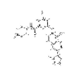 Cc1nocc1-c1ccc2c(=O)n(Cc3cc(F)cc(C(=O)NC4CCN(C)CC4)c3)ccc2c1